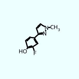 Cn1ccc(-c2ccc(O)c(F)c2)n1